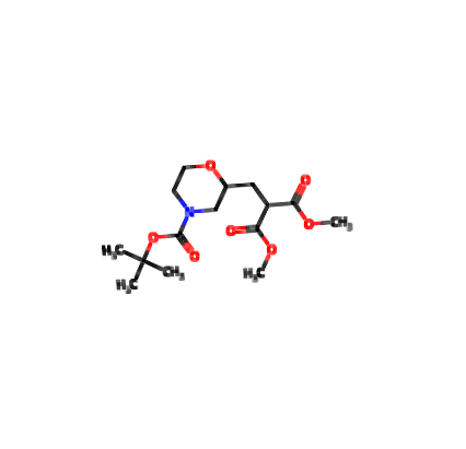 COC(=O)C(CC1CN(C(=O)OC(C)(C)C)CCO1)C(=O)OC